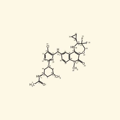 CC(=O)N[C@@H]1C[C@H](C)CN(c2ncc(Cl)c(Nc3ccc4c(c3)c3c(c(=O)n4C)OCC(F)(F)[C@H](C4CC4)N3)n2)C1